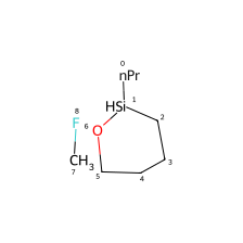 CCC[SiH]1CCCCO1.CF